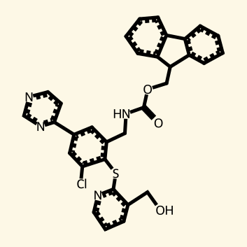 O=C(NCc1cc(-c2ccncn2)cc(Cl)c1Sc1ncccc1CO)OCC1c2ccccc2-c2ccccc21